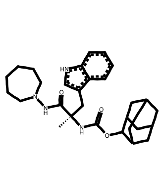 C[C@](Cc1c[nH]c2ccccc12)(NC(=O)OC1C2CC3CC(C2)CC1C3)C(=O)NN1CCCCCC1